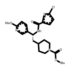 COc1ccc([C@@H](CC2CCN(C(=O)OC(C)(C)C)CC2)NC(=O)c2ccc(Cl)s2)cn1